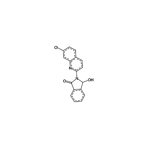 O=C1c2ccccc2C(O)N1c1ccc2ccc(Cl)cc2n1